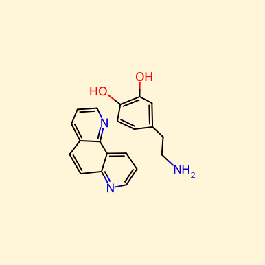 NCCc1ccc(O)c(O)c1.c1cnc2c(c1)ccc1ncccc12